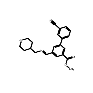 COC(=O)c1cc(C=NCC2CCNCC2)cc(-c2cccc(C#N)c2)c1